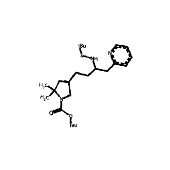 CC(C)(C)OC(=O)N1CC(CCC(Cc2ccccn2)NSC(C)(C)C)CC1(C)C